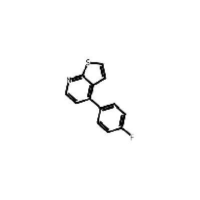 Fc1ccc(-c2ccnc3s[c]cc23)cc1